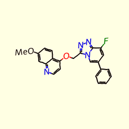 COc1ccc2c(OCc3nnc4c(F)cc(-c5ccccc5)cn34)ccnc2c1